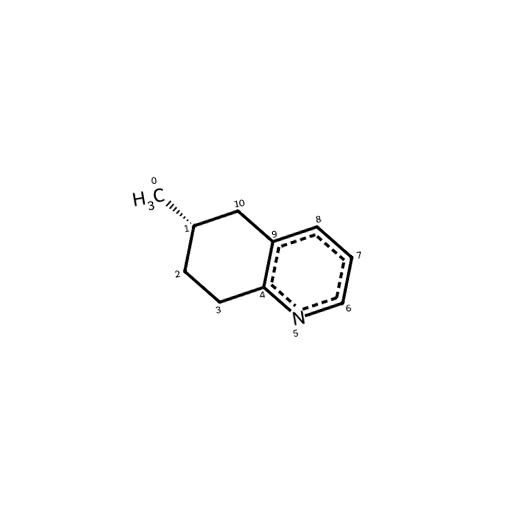 C[C@H]1CCc2ncccc2C1